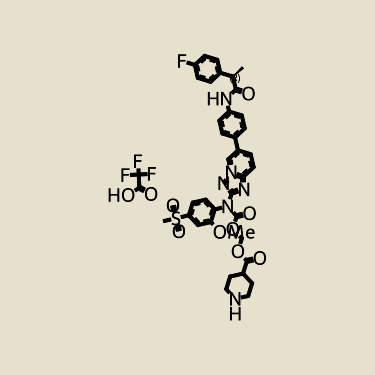 COc1cc(S(C)(=O)=O)ccc1N(C(=O)OCOC(=O)C1CCNCC1)c1nc2ccc(-c3ccc(NC(=O)[C@H](C)c4ccc(F)cc4)cc3)cn2n1.O=C(O)C(F)(F)F